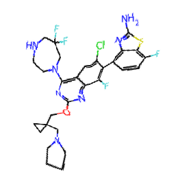 Nc1nc2c(-c3c(Cl)cc4c(N5CCNCC(F)(F)C5)nc(OCC5(CN6CCCC6)CC5)nc4c3F)ccc(F)c2s1